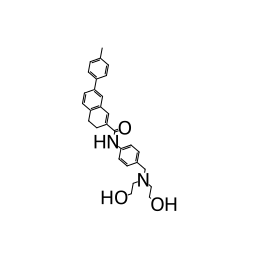 Cc1ccc(-c2ccc3c(c2)C=C(C(=O)Nc2ccc(CN(CCO)CCO)cc2)CC3)cc1